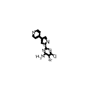 Nc1nc(-n2cc(-c3ccncc3)cn2)nc(Cl)c1Br